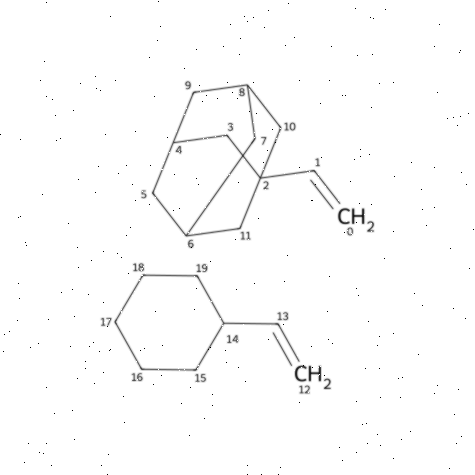 C=CC12CC3CC(CC(C3)C1)C2.C=CC1CCCCC1